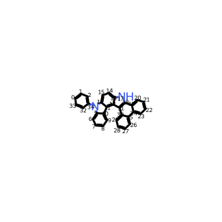 c1ccc(-n2c3ccccc3c3c4c(ccc32)[nH]c2c3ccccc3c3ccccc3c24)cc1